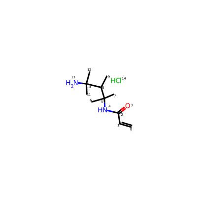 C=CC(=O)NC(C)(C)C(C)C(C)(C)N.Cl